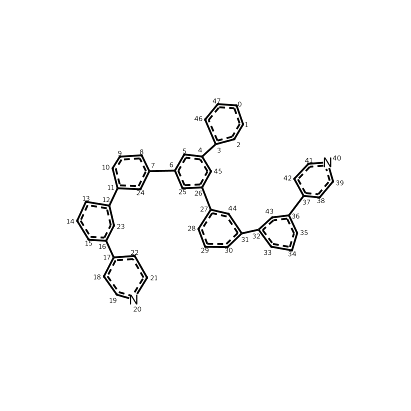 c1ccc(-c2cc(-c3cccc(-c4cccc(-c5ccncc5)c4)c3)cc(-c3cccc(-c4cccc(-c5ccncc5)c4)c3)c2)cc1